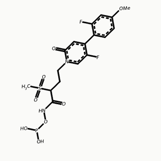 COc1ccc(-c2cc(=O)n(CCC(C(=O)NOP(O)O)S(C)(=O)=O)cc2F)c(F)c1